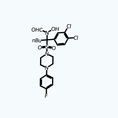 CCCCC(c1ccc(Cl)c(Cl)c1)(N(O)C=O)S(=O)(=O)N1CCN(c2ccc(F)cc2)CC1